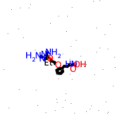 CCc1nc(N)nc(N)c1OCCCOc1ccccc1CCCC(=O)NO